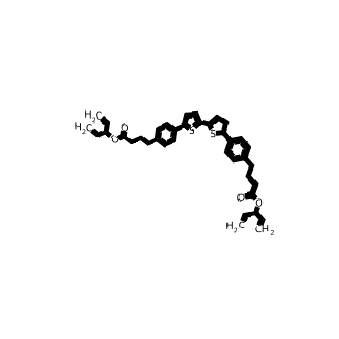 C=CC(C=C)OC(=O)CCCc1ccc(-c2ccc(C3=CCC(c4ccc(CCCC(=O)OC(C=C)C=C)cc4)S3)s2)cc1